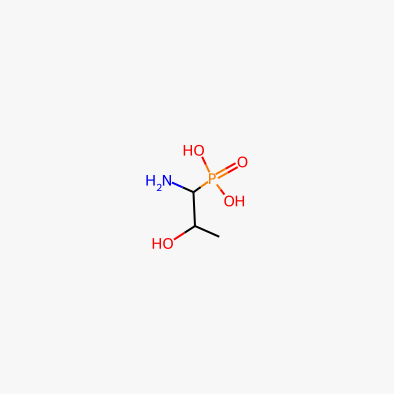 CC(O)C(N)P(=O)(O)O